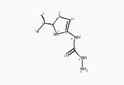 CC(C)C1NC(NC(=O)NN)=CS1